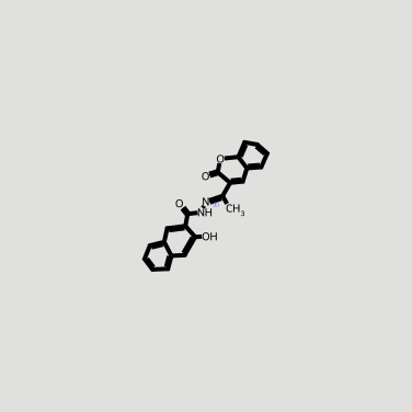 C/C(=N\NC(=O)c1cc2ccccc2cc1O)c1cc2ccccc2oc1=O